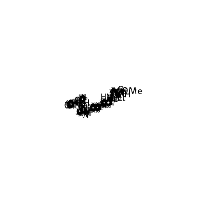 CCC(CC)(NC(=O)OC)C(=O)N1CCCC1c1nc2c([nH]1)-c1ccc(-c3ccc4cc(-c5cnc(C6CCCN6C(=O)C(NC(=O)C6CCOCC6)c6ccccc6)[nH]5)ccc4c3)cc1CC2